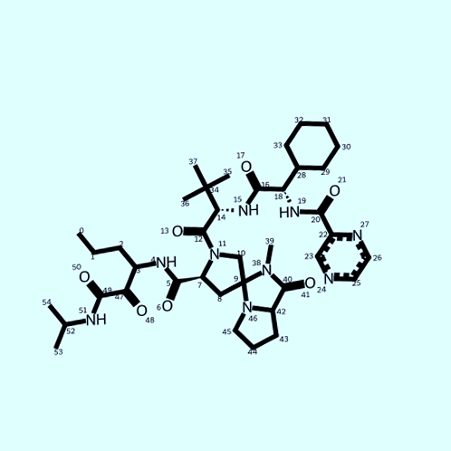 CCCC(NC(=O)[C@@H]1CC2(CN1C(=O)[C@@H](NC(=O)[C@@H](NC(=O)c1cnccn1)C1CCCCC1)C(C)(C)C)N(C)C(=O)C1CCCN12)C(=O)C(=O)NC(C)C